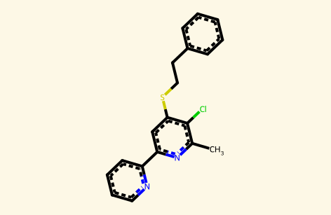 Cc1nc(-c2ccccn2)cc(SCCc2ccccc2)c1Cl